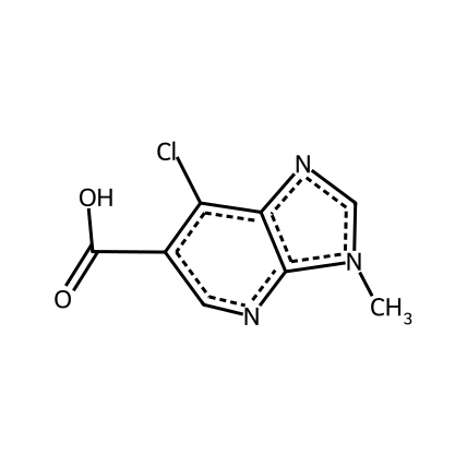 Cn1cnc2c(Cl)c(C(=O)O)cnc21